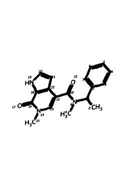 CC(c1ccccc1)N(C)C(=O)c1cn(C)c(=O)c2[nH]ccc12